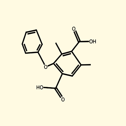 Cc1cc(C(=O)O)c(Oc2ccccc2)c(C)c1C(=O)O